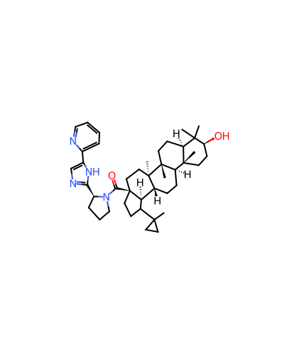 CC1(C2CC[C@]3(C(=O)N4CCC[C@H]4c4ncc(-c5ccccn5)[nH]4)CC[C@]4(C)[C@H](CC[C@@H]5[C@@]6(C)CC[C@H](O)C(C)(C)[C@@H]6CC[C@]54C)[C@@H]23)CC1